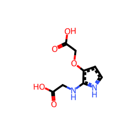 O=C(O)CNc1[nH]ccc1OCC(=O)O